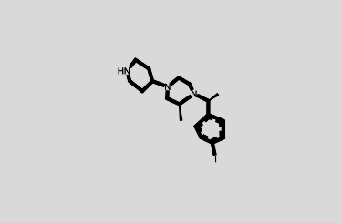 C[C@H]1CN(C2CCNCC2)CCN1[C@@H](C)c1ccc(I)cc1